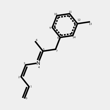 C=C/C=C\N=C(/C)Cc1cccc(C)c1